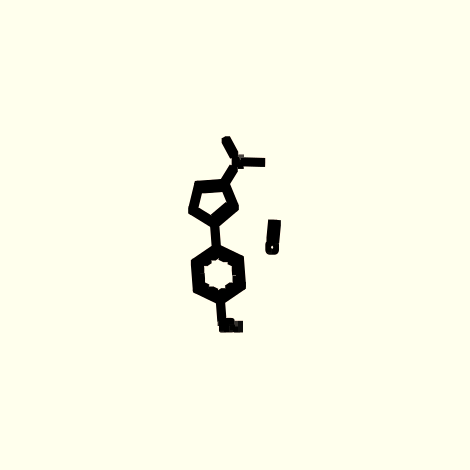 C=O.CN(C)C1=CCC(c2ccc(C(C)(C)C)cc2)=C1